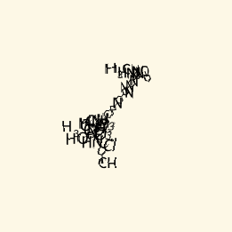 C#Cc1ccc(CNC(=O)[C@@H]2C[C@@H](O)CN2C(=O)[C@@H](NC(=O)[C@H]2CCC3(CC2)C[C@H](N2CCC(c4cnc(N5CCN(c6cc(-c7ccccc7O)nnc6NCC)CC5)nc4)CC2)C3)C(C)(C)C)c(Cl)c1